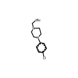 CC(C)(C)CN1CCN(c2ccc(Cl)cc2)CC1